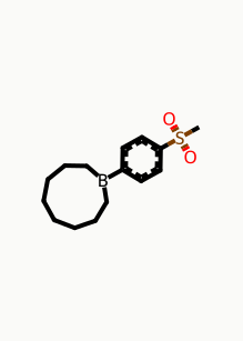 CS(=O)(=O)c1ccc(B2CCCCCCCC2)cc1